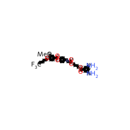 COc1cc(C(=O)Oc2ccc(/C=C/C(=O)OCCCCOC(=O)c3cc(N)cc(N)c3)cc2)ccc1OCCCCC(F)(F)F